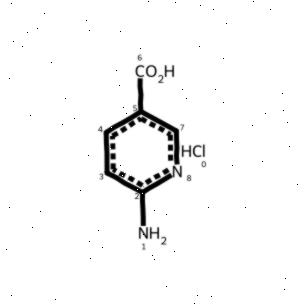 Cl.Nc1ccc(C(=O)O)cn1